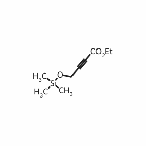 CCOC(=O)C#CCO[Si](C)(C)C